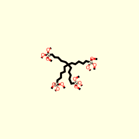 CO[Si](CCCCCC(CCCCC[Si](OC)(OC)OC)(CCCCC[Si](OC)(OC)OC)CCCCC[Si](OC)(OC)OC)(OC)OC